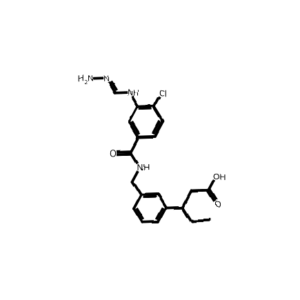 CCC(CC(=O)O)c1cccc(CNC(=O)c2ccc(Cl)c(NC=NN)c2)c1